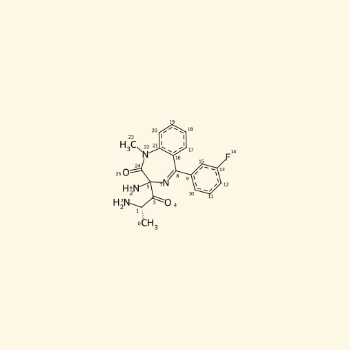 C[C@H](N)C(=O)C1(N)N=C(c2cccc(F)c2)c2ccccc2N(C)C1=O